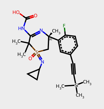 CC1(C)C(NC(=O)O)=N[C@](C)(c2cc(C#C[Si](C)(C)C)ccc2F)CS1(=O)=NC1CC1